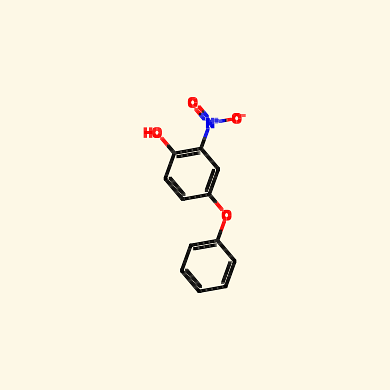 O=[N+]([O-])c1cc(Oc2ccccc2)ccc1O